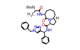 CN[C@@H](C)C(=O)N[C@H]1CCCC[C@H]2CC[C@@H](C(=O)N[C@@H](c3ccccc3)c3cn(Cc4ccccc4)nn3)N2C1=O